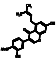 COc1ccc(-c2coc3cc(O)cc(CC=C(C)C)c3c2=O)cc1O